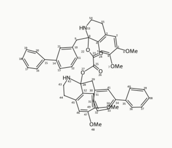 COc1cc2c(cc1OC)C(Cc1cccc(-c3ccccc3)c1)(OC(=O)C(=O)OC1(Cc3cccc(-c4ccccc4)c3)NCCc3cc(OC)c(OC)cc31)NCC2